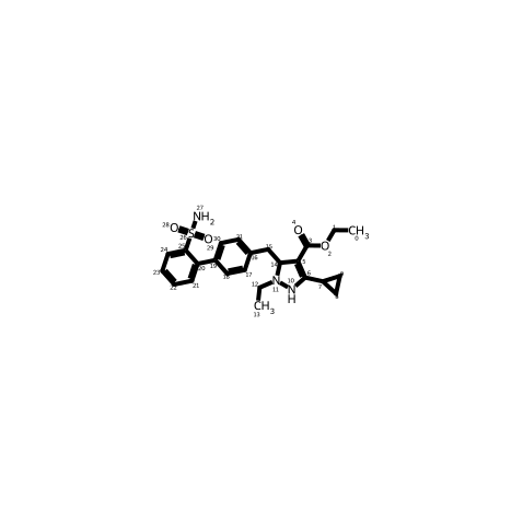 CCOC(=O)C1=C(C2CC2)NN(CC)C1Cc1ccc(-c2ccccc2S(N)(=O)=O)cc1